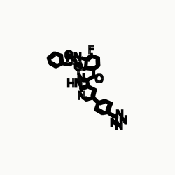 O=C(c1ccc(F)c(NS(=O)(=O)Cc2ccccc2)c1F)c1n[nH]c2ncc(-c3ccc(C4N=NN=N4)cc3)cc12